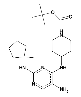 CC(C)(C)OC=O.CC1(Nc2ncc(N)c(NC3CCNCC3)n2)CCCC1